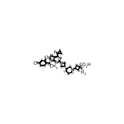 C[C@H](c1ccc(Cl)cc1Cl)n1nnc2c(C3(F)CC3)nc(N3CC([C@H]4CCCN(C5CC(C)(C(=O)O)C5)C4)C3)nc21